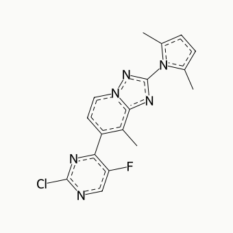 Cc1c(-c2nc(Cl)ncc2F)ccn2nc(-n3c(C)ccc3C)nc12